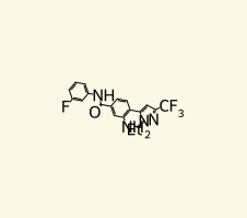 CCn1nc(C(F)(F)F)cc1-c1ccc(C(=O)Nc2cccc(F)c2)cc1N